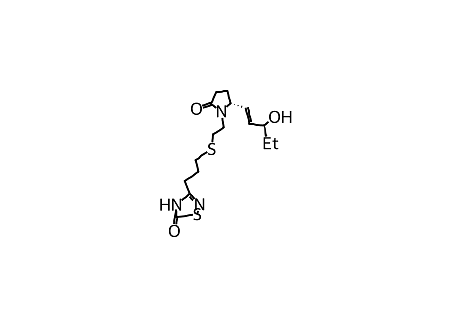 CC[C@H](O)/C=C/[C@H]1CCC(=O)N1CCSCCCc1nsc(=O)[nH]1